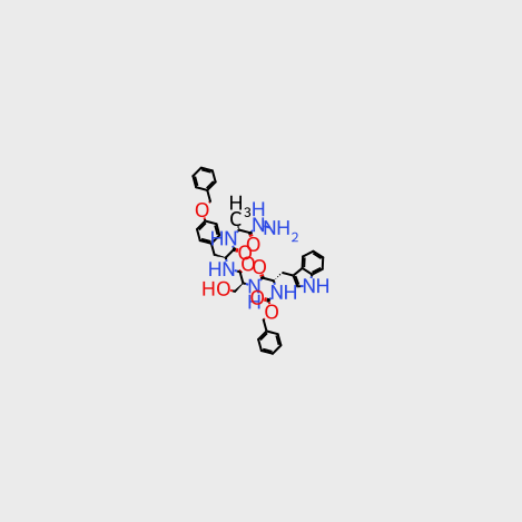 C[C@@H](NC(=O)[C@H](Cc1ccc(OCc2ccccc2)cc1)NC(=O)[C@H](CO)NC(=O)[C@H](Cc1c[nH]c2ccccc12)NC(=O)OCc1ccccc1)C(=O)NN